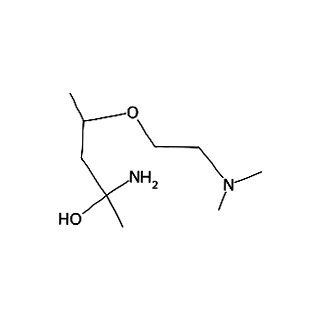 CC(CC(C)(N)O)OCCN(C)C